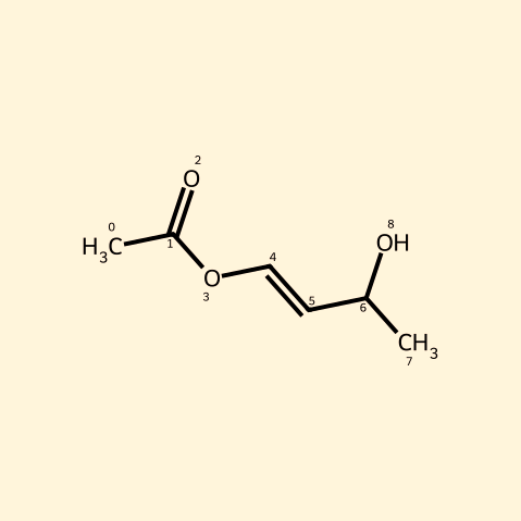 CC(=O)OC=CC(C)O